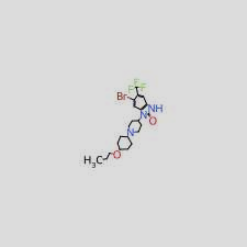 CCCOC1CCC(N2CCC(n3c(=O)[nH]c4cc(C(F)(F)F)c(Br)cc43)CC2)CC1